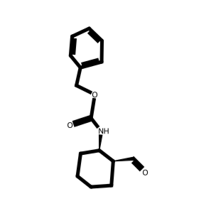 O=C[C@H]1CCCC[C@H]1NC(=O)OCc1ccccc1